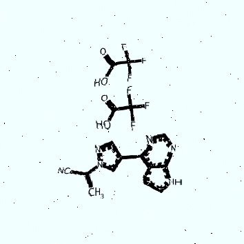 CC(C#N)n1cc(-c2ncnc3[nH]ccc23)cn1.O=C(O)C(F)(F)F.O=C(O)C(F)(F)F